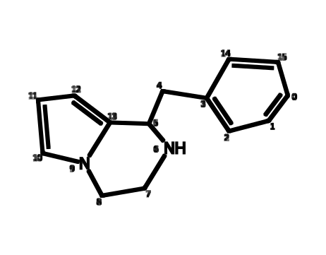 c1ccc(CC2NCCn3cccc32)cc1